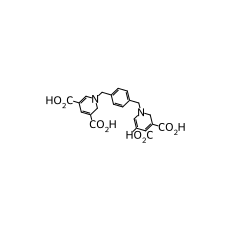 O=C(O)C1=CN(Cc2ccc(CN3C=C(C(=O)O)C=C(C(=O)O)C3)cc2)CC(C(=O)O)=C1